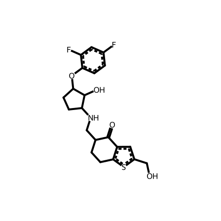 O=C1c2cc(CO)sc2CCC1CNC1CCC(Oc2ccc(F)cc2F)C1O